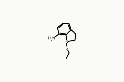 CCSN1CCc2cccc(N)c21